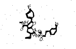 CCc1cc2c(C(=O)NC)c(-c3ccc(F)cc3)oc2nc1NS(=O)(=O)CCc1cccc(C#N)c1